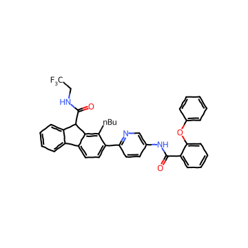 CCCCc1c(-c2ccc(NC(=O)c3ccccc3Oc3ccccc3)cn2)ccc2c1C(C(=O)NCC(F)(F)F)c1ccccc1-2